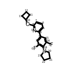 Fc1cc(-c2cccc(OC3CCC3)n2)cc(F)c1N1CCCC1